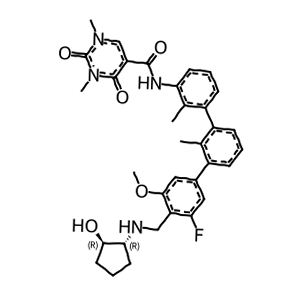 COc1cc(-c2cccc(-c3cccc(NC(=O)c4cn(C)c(=O)n(C)c4=O)c3C)c2C)cc(F)c1CN[C@@H]1CCC[C@H]1O